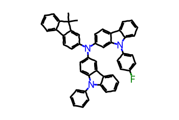 CC1(C)c2ccccc2-c2ccc(N(c3ccc4c(c3)c3ccccc3n4-c3ccccc3)c3ccc4c5ccccc5n(-c5ccc(F)cc5)c4c3)cc21